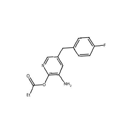 CCC(=O)Oc1ncc(Cc2ccc(F)cc2)cc1N